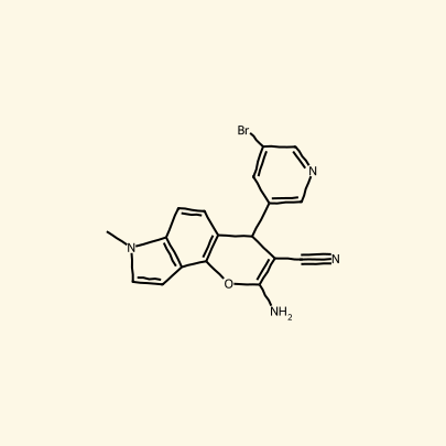 Cn1ccc2c3c(ccc21)C(c1cncc(Br)c1)C(C#N)=C(N)O3